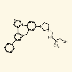 C[C@H](CO)NC[C@H]1CCN(c2ccc3c(c2)Cn2cc(-c4ccccc4)cc2-c2nncn2-3)C1